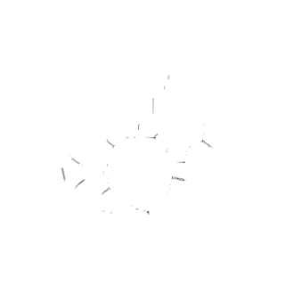 CCC(NC(=N)N)[C@@H]1NC(=O)[C@H](CCCCN)NC(=O)[C@@H](Cc2ccccc2)NC(=O)[C@@H](CC(=O)O)NC(=O)CNC1=O